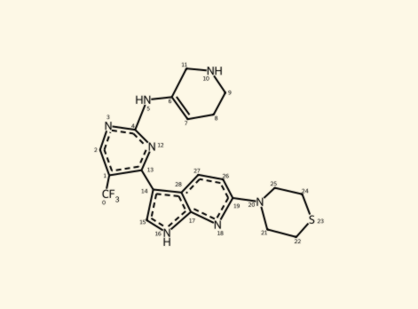 FC(F)(F)c1cnc(NC2=CCCNC2)nc1-c1c[nH]c2nc(N3CCSCC3)ccc12